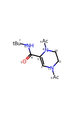 CC(=O)N1C=C(C(=O)NC(C)(C)C)N(C(C)=O)CC1